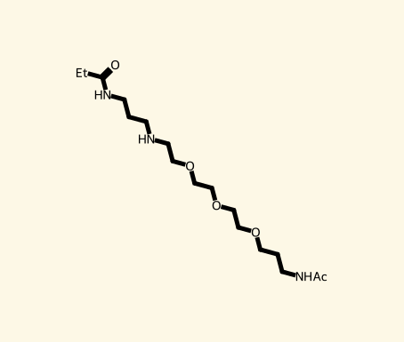 CCC(=O)NCCCNCCOCCOCCOCCCNC(C)=O